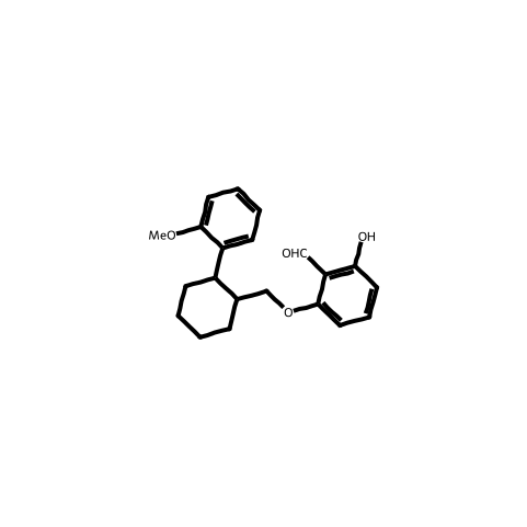 COc1ccccc1C1CCCCC1COc1cccc(O)c1C=O